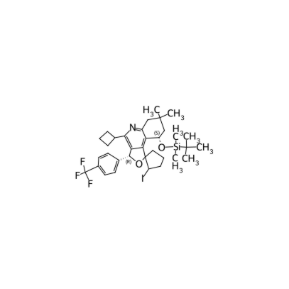 CC1(C)Cc2nc(C3CCC3)c3c(c2[C@@H](O[Si](C)(C)C(C)(C)C)C1)C1(CCCC1I)O[C@@H]3c1ccc(C(F)(F)F)cc1